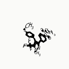 CSc1ccc(-c2c(-c3ccc(S(C)(=O)=O)cc3)nn(C)c2C(F)(F)F)cc1